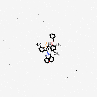 CCC(C)(Pc1c(C)cccc1CN(Cc1ccccc1)Cc1ccccc1)c1cc(C)cc(C(C)(C)C)c1OCc1ccccc1